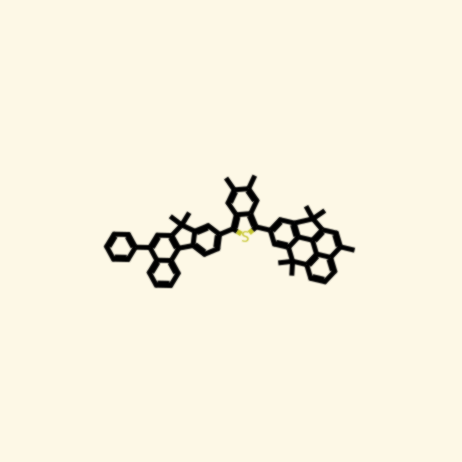 Cc1cc2c(-c3ccc4c(c3)C(C)(C)c3cc(-c5ccccc5)c5ccccc5c3-4)sc(-c3cc4c5c(c3)C(C)(C)c3cccc6c(C)cc(c-5c36)C4(C)C)c2cc1C